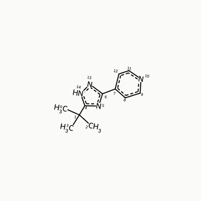 CC(C)(C)c1nc(-c2ccncc2)n[nH]1